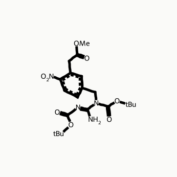 COC(=O)Cc1cc(CN(C(=O)OC(C)(C)C)C(N)=NC(=O)OC(C)(C)C)ccc1[N+](=O)[O-]